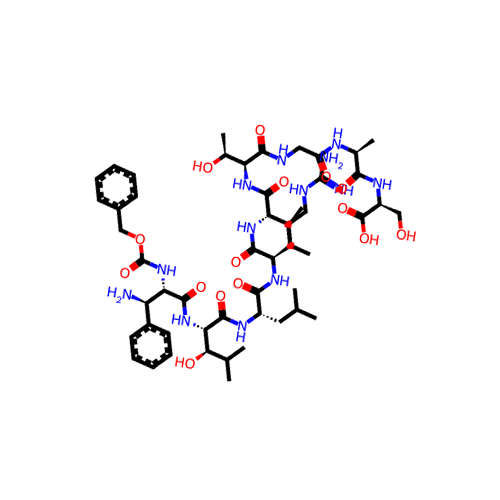 CC[C@H](C)[C@H](NC(=O)[C@@H](CCCNC(=N)N)NC(=O)[C@H](CC(C)C)NC(=O)[C@@H](NC(=O)[C@@H](NC(=O)OCc1ccccc1)[C@H](N)c1ccccc1)[C@H](O)C(C)C)C(=O)N[C@H](C(=O)NCC(=O)N[C@@H](C)C(=O)N[C@@H](CO)C(=O)O)[C@H](C)O